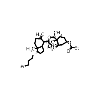 CCC(=O)OC1CCC(C)([C@@H](C)OC(C=O)C2C(C)CCC3(C)C2CC[C@@H]3CCCCC(C)C)C(C)C1